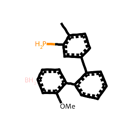 B.COc1ccccc1-c1ccccc1-c1ccc(C)c(P)c1